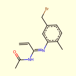 C=C/C(=N\c1cc(CBr)ccc1C)NC(C)=O